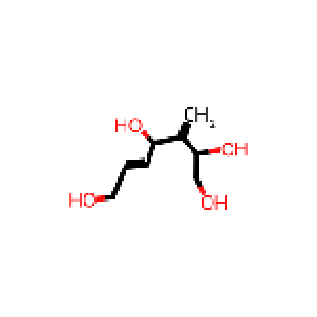 C=C(C(O)C=CCO)C(O)CO